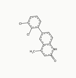 Cc1cc(=O)[nH]c2ccc(-c3cccc(Cl)c3Cl)cc12